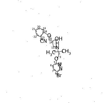 CC(C)(COc1ccc(Br)nn1)NCC(O)COc1ccccc1C#N